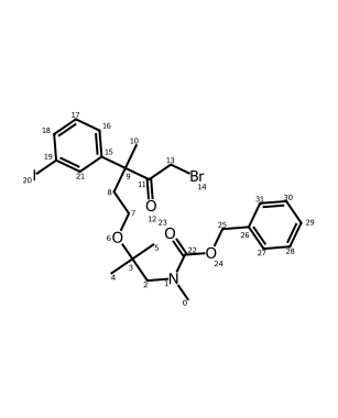 CN(CC(C)(C)OCCC(C)(C(=O)CBr)c1cccc(I)c1)C(=O)OCc1ccccc1